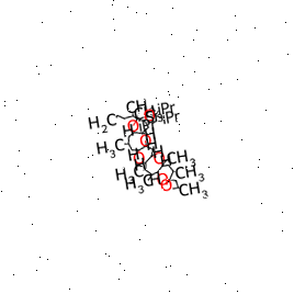 C=CCC(C)[C@]1(C)O[C@@H]2C[C@H](C)C[C@@H]3O[C@@H]4[C@@H](C)[C@H](C)[C@@H]5O[C@]6(C[C@H](C)CO6)[C@@H](C)[C@H](C)[C@H]5O[C@H]4C[C@H]3O[C@H]2C[C@H]1O[Si](C(C)C)(C(C)C)C(C)C